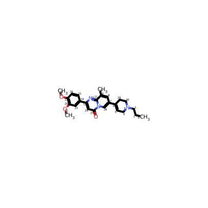 CCCN1CC=C(c2cc(C)c3nc(-c4ccc(OC)c(OC)c4)cc(=O)n3c2)CC1